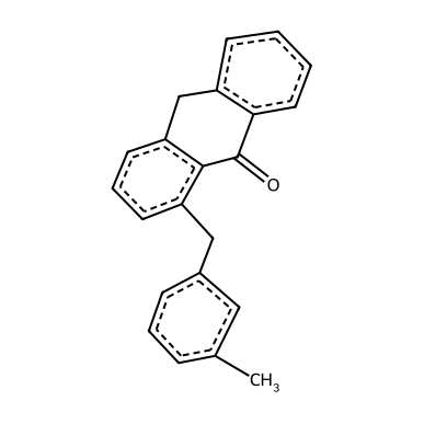 Cc1cccc(Cc2cccc3c2C(=O)c2ccccc2C3)c1